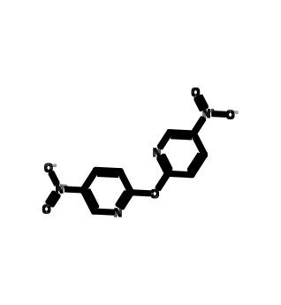 O=[N+]([O-])c1ccc(Oc2ccc([N+](=O)[O-])cn2)nc1